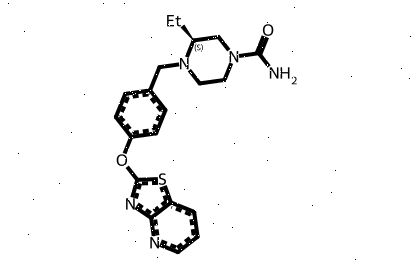 CC[C@H]1CN(C(N)=O)CCN1Cc1ccc(Oc2nc3ncccc3s2)cc1